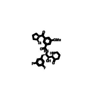 CC[C@H]1CCCN1C(=O)c1cc(OC)cc(C(=O)N[C@@H](Cc2cc(F)cc(F)c2)[C@H](O)[C@@H]2NCCCC2=O)c1